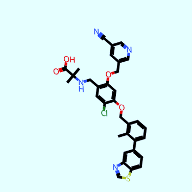 Cc1c(COc2cc(OCc3cncc(C#N)c3)c(CNC(C)(C)C(=O)O)cc2Cl)cccc1-c1ccc2scnc2c1